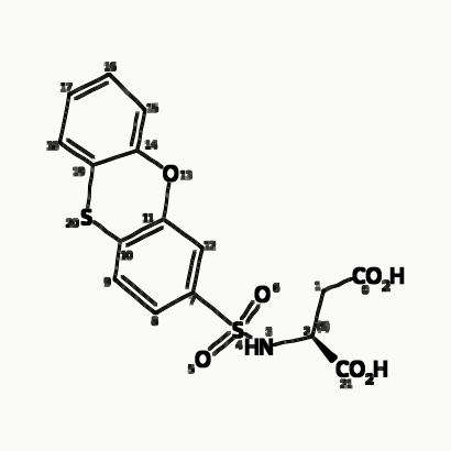 O=C(O)C[C@H](NS(=O)(=O)c1ccc2c(c1)Oc1ccccc1S2)C(=O)O